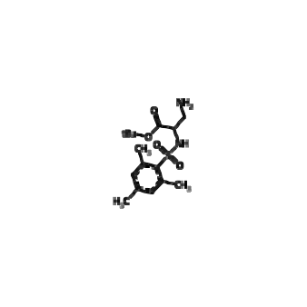 Cc1cc(C)c(S(=O)(=O)NC(CN)C(=O)OC(C)(C)C)c(C)c1